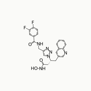 O=C(C[C@@H](Cc1cnc2ccccc2c1)n1cc(CNC(=O)c2ccc(F)c(F)c2)nn1)NO